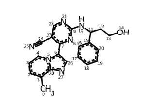 Cc1cccn2c(-c3nc(NC(CCO)c4ccccc4)ncc3C#N)cnc12